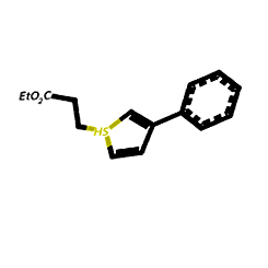 CCOC(=O)CC[SH]1C=CC(c2ccccc2)=C1